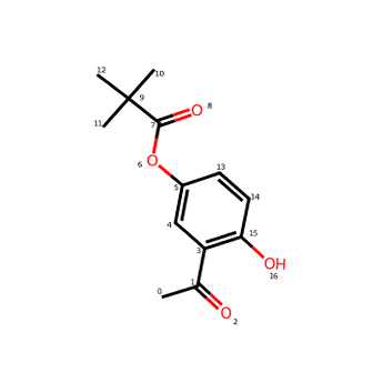 CC(=O)c1cc(OC(=O)C(C)(C)C)ccc1O